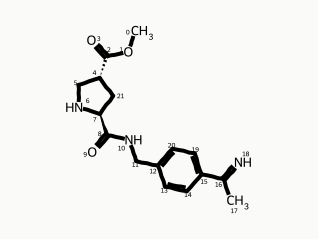 COC(=O)[C@H]1CN[C@H](C(=O)NCc2ccc(C(C)=N)cc2)C1